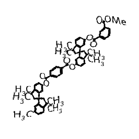 COC(=O)c1cccc(C(=O)Oc2ccc3c(c2)C2(CC(C)(C)c4ccc(OC(=O)c5ccc(C(=O)Oc6ccc7c(c6)C6(CC(C)(C)c8ccc(C)cc86)CC7(C)C)cc5)cc42)CC3(C)C)c1